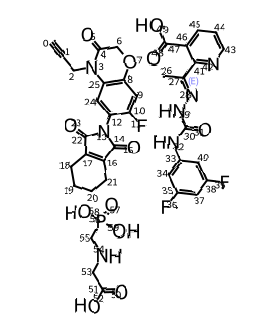 C#CCN1C(=O)COc2cc(F)c(N3C(=O)C4=C(CCCC4)C3=O)cc21.C/C(=N\NC(=O)Nc1cc(F)cc(F)c1)c1ncccc1C(=O)O.O=C(O)CNCP(=O)(O)O